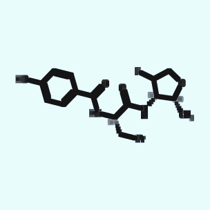 CC(C)C[C@H](NC(=O)c1ccc(O)cc1)C(=O)N[C@@H]1C(F)CO[C@@H]1C